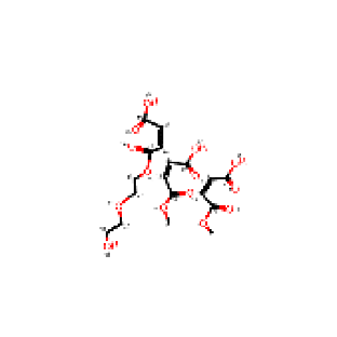 COC(=O)/C=C\C(=O)O.COC(=O)/C=C\C(=O)O.O=C(O)/C=C\C(=O)OCCOCCO